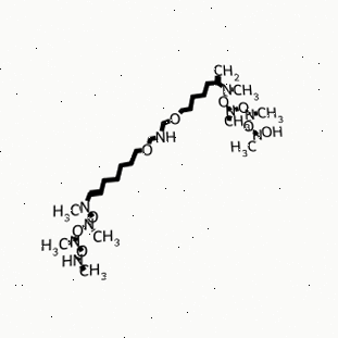 C=C(CCCCCOCNCOCCCCC/C=C/N(C)ON(C)ON(C)ONC)N(C)ON(C)ON(C)ON(C)O